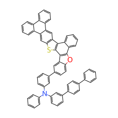 c1ccc(-c2ccc(-c3cccc(N(c4ccccc4)c4cccc(-c5ccc6oc7c8ccccc8c8c9cc%10c%11ccccc%11c%11ccccc%11c%10cc9sc8c7c6c5)c4)c3)cc2)cc1